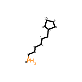 PCCCCCCC1CCCC1